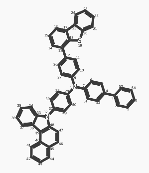 c1ccc(-c2ccc(N(c3ccc(-c4cccc5c4sc4ccccc45)cc3)c3ccc(-n4c5ccccc5c5c6ccccc6ccc54)cc3)cc2)cc1